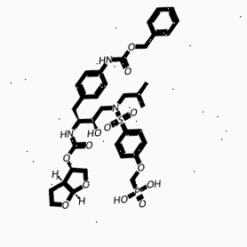 CC(C)CN(C[C@@H](O)[C@H](Cc1ccc(NC(=O)OCc2ccccc2)cc1)NC(=O)O[C@H]1CO[C@H]2OCC[C@H]21)S(=O)(=O)c1ccc(OCP(=O)(O)O)cc1